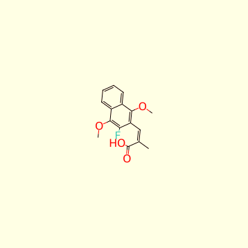 COc1c(F)c(/C=C(/C)C(=O)O)c(OC)c2ccccc12